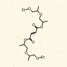 CCOCC(C)OCC(C)OC(=O)/C=C/C(=O)OC(C)COC(C)COCC